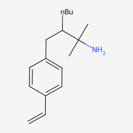 C=Cc1ccc(CC(CCCC)C(C)(C)N)cc1